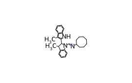 Cc1c(C2C(C)c3ccccc3N2/C=N/C2CCCCCCC2)[nH]c2ccccc12